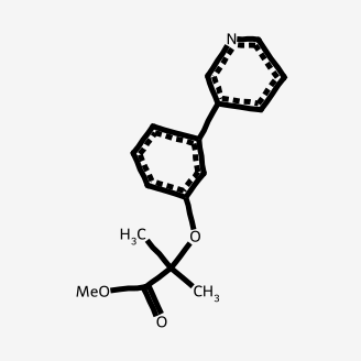 COC(=O)C(C)(C)Oc1cccc(-c2cccnc2)c1